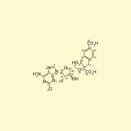 Nc1nc(Cl)nc2c1ncn2[C@@H]1O[C@H](COC(Cc2ccc(C(=O)O)cc2)(C(=O)O)C(=O)O)[C@@H](O)[C@@H]1F